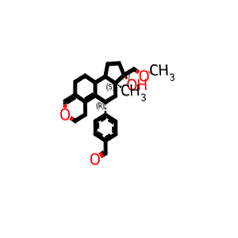 COC[C@]1(O)CCC2C3CCC4=COCCC4=C3[C@@H](c3ccc(C=O)cc3)C[C@@]21C